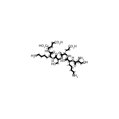 NCCCC[C@H](NC(=O)[C@H](CO)NC(=O)[C@H](CCC(=O)O)NC(=O)[C@H](CCCCN)NC(=O)[C@@H](N)CO)C(=O)N[C@@H](CCC(=O)O)C(=O)O